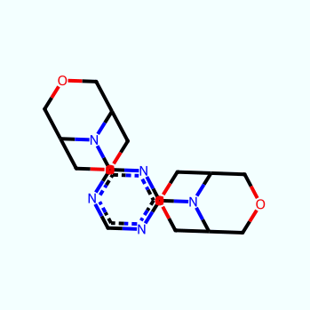 c1nc(N2C3COCC2COC3)nc(N2C3COCC2COC3)n1